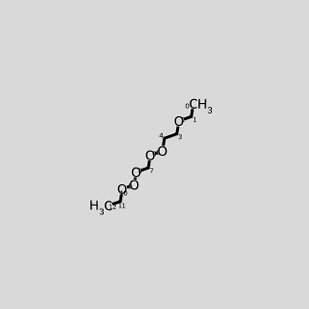 CCOCCOOCOOOCC